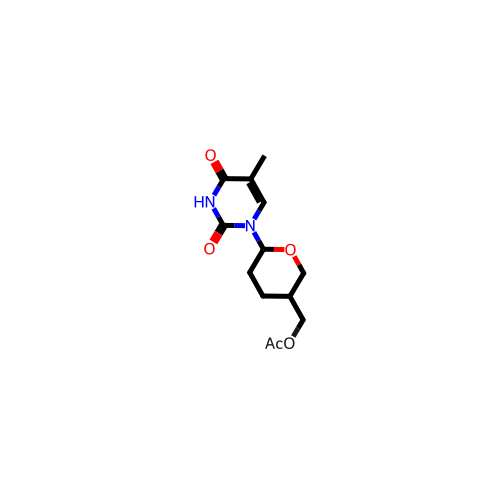 CC(=O)OCC1CCC(n2cc(C)c(=O)[nH]c2=O)OC1